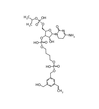 C=Cc1cc(CO)cc(COP(=O)(O)OCCCCOP(=O)(O)OC2[C@@H](COP(=O)(O)OC(C)C)O[C@@H](N3CCC(N)=NC3=O)[C@H]2O)c1